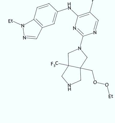 CCOOCC12CNCC1(C(F)(F)F)CN(c1ncc(F)c(Nc3ccc4c(cnn4CC)c3)n1)C2